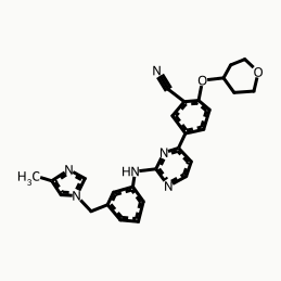 Cc1cn(Cc2cccc(Nc3nccc(-c4ccc(OC5CCOCC5)c(C#N)c4)n3)c2)cn1